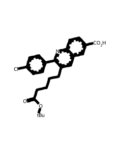 CC(C)(C)OC(=O)CCCCc1cc2cc(C(=O)O)ccc2nc1-c1ccc(Cl)cc1